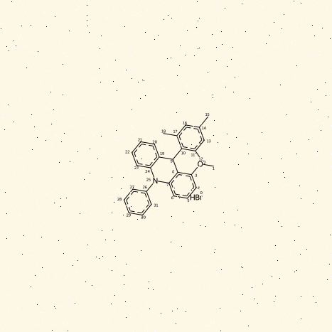 Br.COc1cccc2c1C(c1c(C)cc(C)cc1C)c1ccccc1N2c1ccccc1